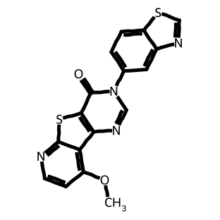 COc1ccnc2sc3c(=O)n(-c4ccc5scnc5c4)cnc3c12